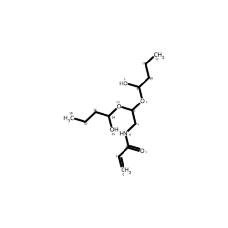 C=CC(=O)NCC(OC(O)CCC)OC(O)CCC